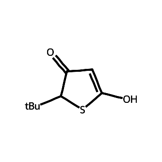 CC(C)(C)C1SC(O)=CC1=O